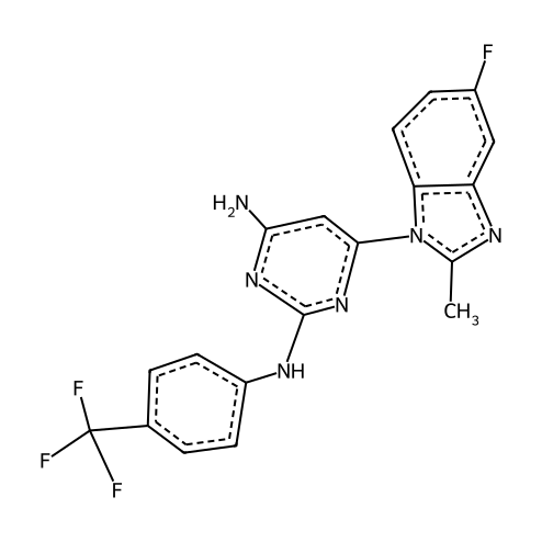 Cc1nc2cc(F)ccc2n1-c1cc(N)nc(Nc2ccc(C(F)(F)F)cc2)n1